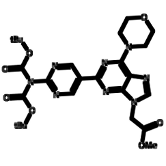 COC(=O)Cn1cnc2c(N3CCOCC3)nc(-c3cnc(N(C(=O)OC(C)(C)C)C(=O)OC(C)(C)C)nc3)nc21